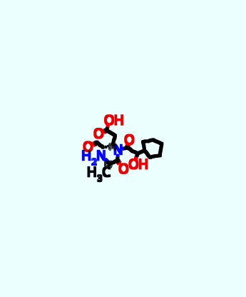 C[C@H](N)C(=O)N(C(=O)C(O)C1CCCCC1)[C@H](CC=O)CC(=O)O